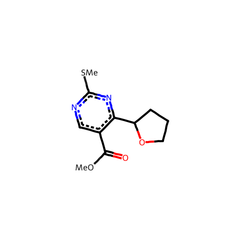 COC(=O)c1cnc(SC)nc1C1CCCO1